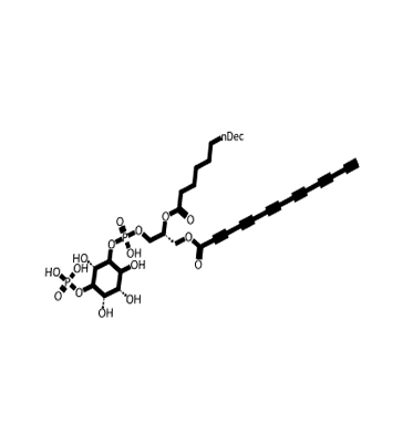 C#CC#CC#CC#CC#CC#CC(=O)OC[C@H](COP(=O)(O)OC1C(O)[C@H](O)[C@H](O)C(OP(=O)(O)O)[C@@H]1O)OC(=O)CCCCCCCCCCCCCCC